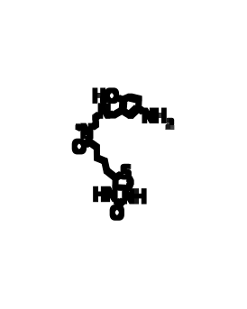 CN(CCN(C)C(=O)CCCCC1SCC2NC(=O)NC21)Cc1cc(N)ccc1O